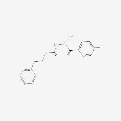 CC(C)(C)N(NC(=O)CCCc1ccccc1)C(=O)c1ccc(Cl)cc1